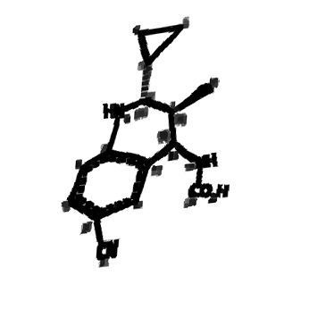 C[C@@H]1[C@@H](C2CC2)Nc2ccc(C#N)cc2[C@@H]1NC(=O)O